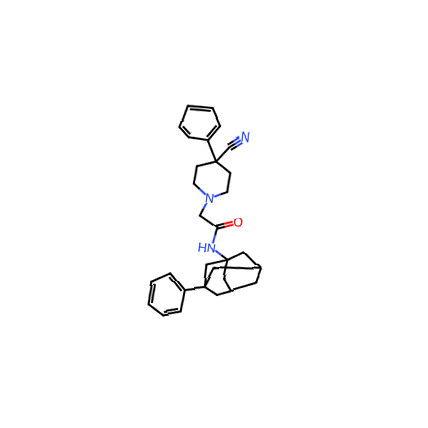 N#CC1(c2ccccc2)CCN(CC(=O)NC23CC4CC(C2)CC(c2ccccc2)(C4)C3)CC1